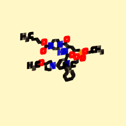 CCCCOC(=O)N1CCN(C(=O)C(CCCP(=O)(OCC)OCC)NC(=O)c2cc(N3CCC(OC)C3)cc(-c3ccccc3)n2)CC1